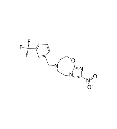 O=[N+]([O-])c1cn2c(n1)OCCN(Cc1cccc(C(F)(F)F)c1)CC2